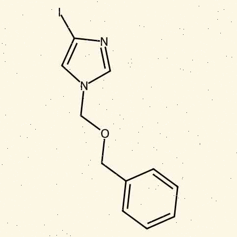 Ic1cn(COCc2ccccc2)cn1